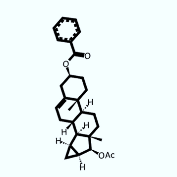 CC(=O)O[C@H]1[C@H]2C[C@H]2[C@H]2[C@@H]3CC=C4C[C@@H](OC(=O)c5ccccc5)CC[C@]4(C)[C@H]3CC[C@@]21C